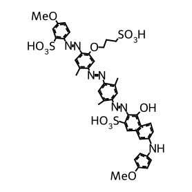 COc1ccc(Nc2ccc3c(O)c(N=Nc4cc(C)c(N=Nc5cc(OCCCS(=O)(=O)O)c(N=Nc6ccc(OC)cc6S(=O)(=O)O)cc5C)cc4C)c(S(=O)(=O)O)cc3c2)cc1